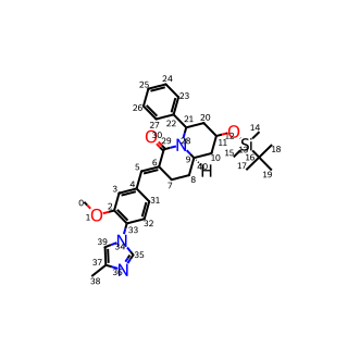 COc1cc(/C=C2\CC[C@@H]3CC(O[Si](C)(C)C(C)(C)C)CC(c4ccccc4)N3C2=O)ccc1-n1cnc(C)c1